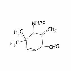 C=C1C(C=O)C=CC(C)(C)C1NC(C)=O